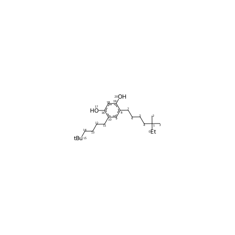 CCC(C)(C)CCCCc1cc(CCCCC(C)(C)C)c(O)cc1O